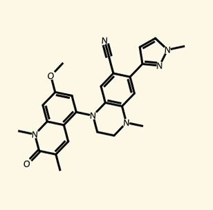 COc1cc(N2CCN(C)c3cc(-c4ccn(C)n4)c(C#N)cc32)c2cc(C)c(=O)n(C)c2c1